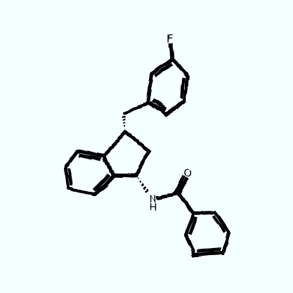 O=C(N[C@H]1C[C@@H](Cc2cccc(F)c2)c2ccccc21)c1ccccc1